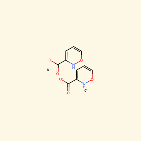 O=C([O-])C1=CC=CON1.O=C([O-])C1=CC=CON1.[K+].[K+]